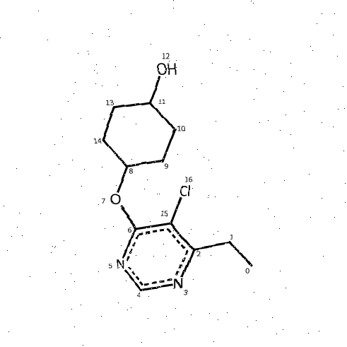 CCc1ncnc(OC2CCC(O)CC2)c1Cl